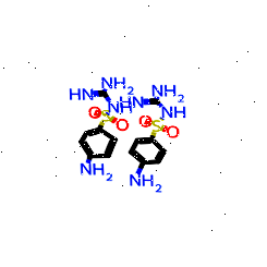 N=C(N)NS(=O)(=O)c1ccc(N)cc1.N=C(N)NS(=O)(=O)c1ccc(N)cc1